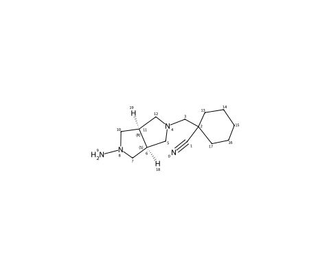 N#CC1(CN2C[C@H]3CN(N)C[C@H]3C2)CCCCC1